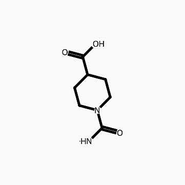 [NH]C(=O)N1CCC(C(=O)O)CC1